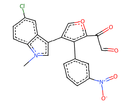 Cn1cc(-c2coc(C(=O)C=O)c2-c2cccc([N+](=O)[O-])c2)c2cc(Cl)ccc21